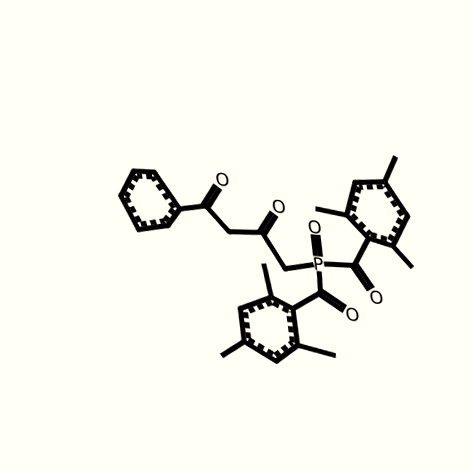 Cc1cc(C)c(C(=O)P(=O)(CC(=O)CC(=O)c2ccccc2)C(=O)c2c(C)cc(C)cc2C)c(C)c1